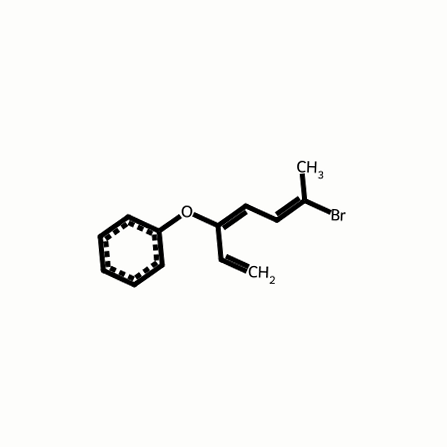 C=C/C(=C\C=C(/C)Br)Oc1ccccc1